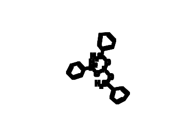 c1ccc([SiH2]OP(O[SiH2]c2ccccc2)O[SiH2]c2ccccc2)cc1